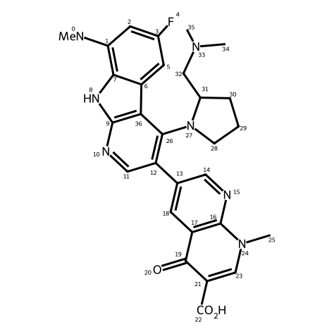 CNc1cc(F)cc2c1[nH]c1ncc(-c3cnc4c(c3)c(=O)c(C(=O)O)cn4C)c(N3CCCC3CN(C)C)c12